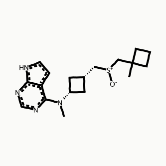 CN(c1ncnc2[nH]ccc12)[C@H]1C[C@@H](C[S+]([O-])CC2(C)CCC2)C1